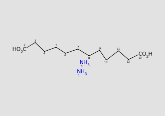 N.N.O=C(O)CCCCCCCCCCC(=O)O